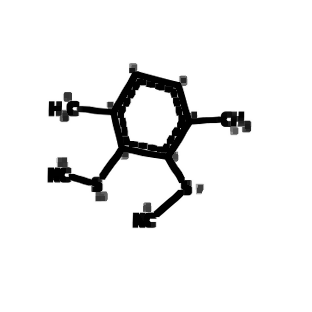 Cc1ccc(C)c(SC#N)c1SC#N